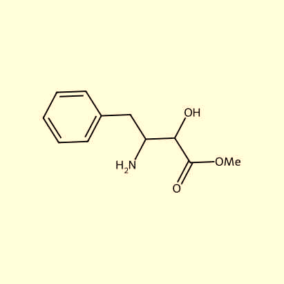 COC(=O)C(O)C(N)Cc1ccccc1